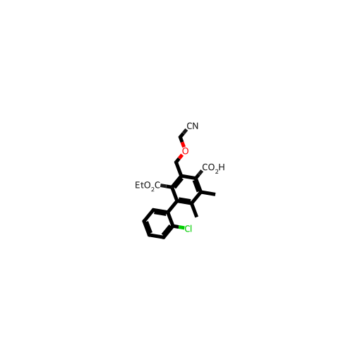 CCOC(=O)c1c(COCC#N)c(C(=O)O)c(C)c(C)c1-c1ccccc1Cl